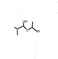 CC(C)C(C)OC(O)N(C)C